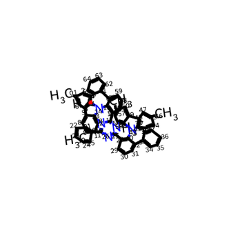 Cc1ccc2c(c1)c1cc(C)ccc1n2-c1c(-c2nc(-c3ccccc3)nc(-c3cccc(-c4ccccc4C)c3-n3c4ccc(C)cc4c4cc(C)ccc43)n2)cccc1-c1ccccc1C